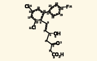 O=C(O)CC(=O)CC(O)C=Cc1c(Cl)cc(Cl)cc1-c1ccc(F)cc1